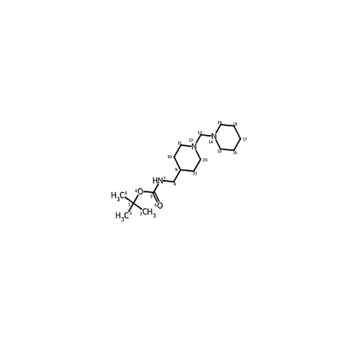 CC(C)(C)OC(=O)NCC1CCN(CN2CCCCC2)CC1